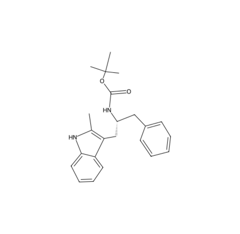 Cc1[nH]c2ccccc2c1C[C@@H](Cc1ccccc1)NC(=O)OC(C)(C)C